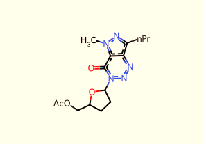 CCCc1nn(C)c2c(=O)n(C3CCC(COC(C)=O)O3)nnc12